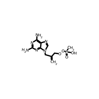 C=C(COOP(C)(=O)O)Cn1cnc2c(N)nc(N)nc21